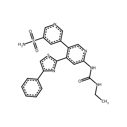 CCNC(=O)Nc1cc(-c2nc(-c3ccccc3)cs2)c(-c2cncc(S(N)(=O)=O)c2)cn1